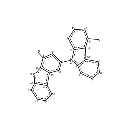 Cc1cc(-n2c3ccccc3c3c(C)cccc32)cc2c1sc1ccccc12